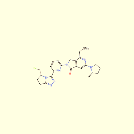 CNCc1nc(N2CCC[C@H]2C)cc2c1CN(c1cccc(-c3nnc4n3[C@@H](CF)CC4)n1)C2=O